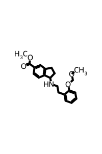 COCOc1ccccc1CCNC1CCc2cc(C(=O)OC)ccc21